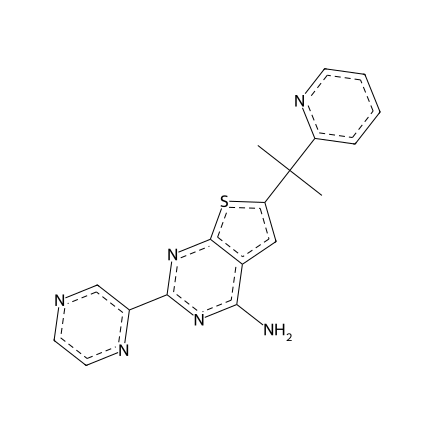 CC(C)(c1ccccn1)c1cc2c(N)nc(-c3cnccn3)nc2s1